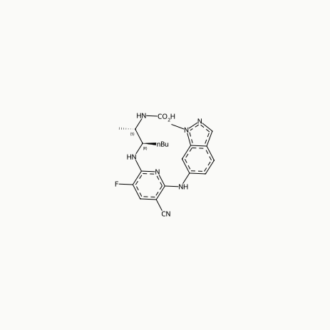 CCCC[C@@H](Nc1nc(Nc2ccc3cnn(C)c3c2)c(C#N)cc1F)[C@H](C)NC(=O)O